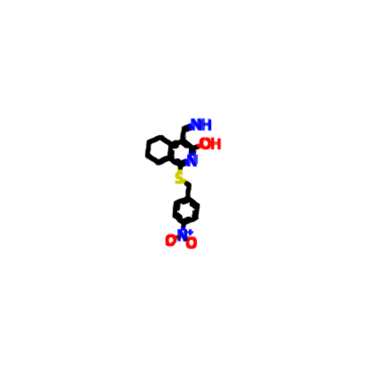 N=Cc1c(O)nc(SCc2ccc([N+](=O)[O-])cc2)c2c1CCCC2